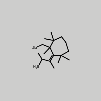 BC(C)/C(C)=C1/C(C)(C)CCCC(C)(C)C1(C)CC(C)(C)C